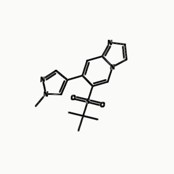 Cn1cc(-c2cc3nccn3cc2S(=O)(=O)C(C)(C)C)cn1